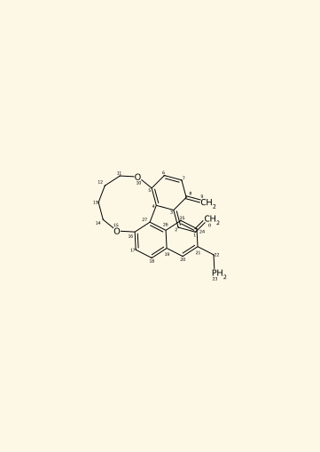 C=C/C=c1/c2c(ccc1=C)OCCCCOc1ccc3cc(CP)ccc3c1-2